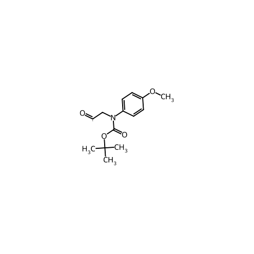 COc1ccc(N(C[C]=O)C(=O)OC(C)(C)C)cc1